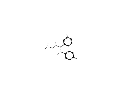 CNC[C@@H](O)[C@H](c1cccc(F)c1)N(C)c1ccc(Cl)cc1